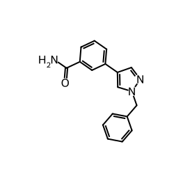 NC(=O)c1cccc(-c2cnn(Cc3ccccc3)c2)c1